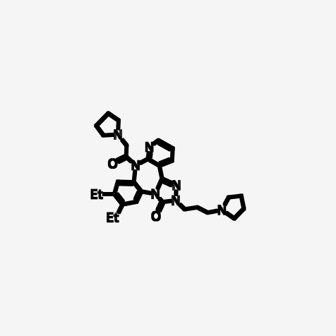 CCc1cc2c(cc1CC)-n1c(nn(CCCN3CCCC3)c1=O)-c1cccnc1N2C(=O)CN1CCCC1